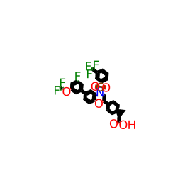 O=C(O)C1CC12CCC(C1CN(S(=O)(=O)c3cccc(C(F)(F)F)c3)c3cc(-c4cc(F)cc(OC(F)F)c4)ccc3O1)CC2